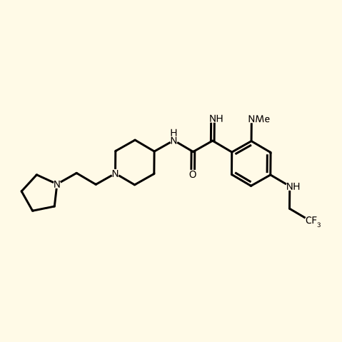 CNc1cc(NCC(F)(F)F)ccc1C(=N)C(=O)NC1CCN(CCN2CCCC2)CC1